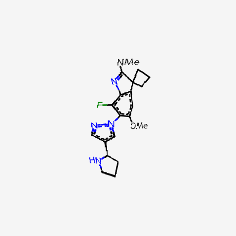 CNC1=Nc2c(cc(OC)c(-n3cc([C@H]4CCCN4)cn3)c2F)C12CCC2